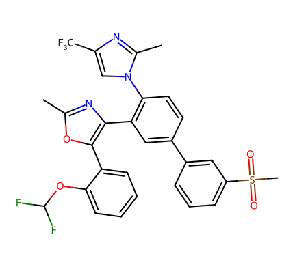 Cc1nc(-c2cc(-c3cccc(S(C)(=O)=O)c3)ccc2-n2cc(C(F)(F)F)nc2C)c(-c2ccccc2OC(F)F)o1